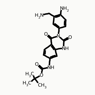 CC(C)(C)OC(=O)Nc1ccc2c(=O)n(-c3ccc(N)c(CN)c3)c(=O)[nH]c2c1